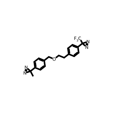 CC1(c2ccc(COCCc3ccc(C4(C(F)(F)F)N=N4)cc3)cc2)N=N1